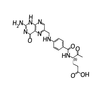 CC(=O)[C@H](CCC(=O)O)NC(=O)c1ccc(NCc2cnc3[nH]c(N)nc(=O)c3n2)cc1